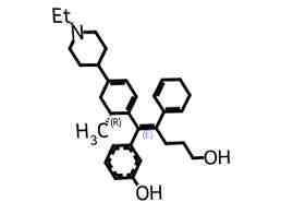 CCN1CCC(C2=CC=C(/C(=C(/CCCO)C3=CCCC=C3)c3cccc(O)c3)[C@H](C)C2)CC1